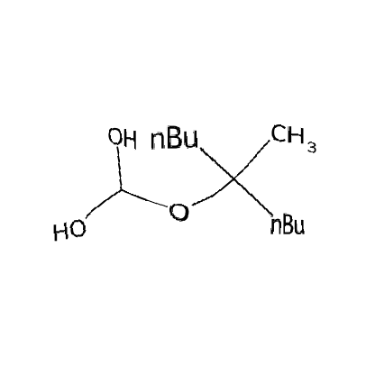 CCCCC(C)(CCCC)OC(O)O